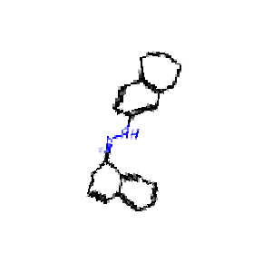 C1=Cc2ccccc2/C(=N\Nc2ccc3c(c2)CCCC3)C1